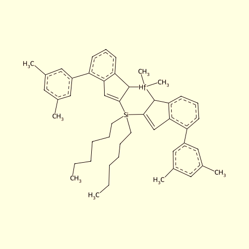 CCCCCC[Si]1(CCCCCC)C2=Cc3c(-c4cc(C)cc(C)c4)cccc3[CH]2[Hf]([CH3])([CH3])[CH]2C1=Cc1c(-c3cc(C)cc(C)c3)cccc12